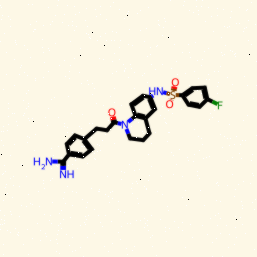 N=C(N)c1ccc(CCC(=O)N2CCCc3cc(NS(=O)(=O)c4ccc(F)cc4)ccc32)cc1